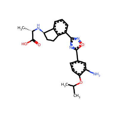 CC(C)Oc1ccc(-c2nc(-c3cccc4c3CC[C@H]4N[C@@H](C)C(=O)O)no2)cc1N